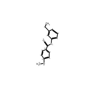 CCc1cccc(OC(=O)c2ccc(OC)cc2)c1